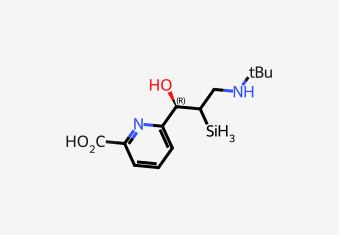 CC(C)(C)NCC([SiH3])[C@H](O)c1cccc(C(=O)O)n1